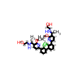 COc1nc(-c2cccc(-c3cccc(-c4ccc([C@@H](C)NCCO)c(OC)n4)c3Cl)c2Cl)ccc1[C@@H](C)NCCO